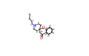 CCCCN1CCC2(CC1)CC(=O)c1ccccc1O2